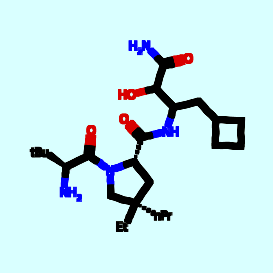 CCC[C@@]1(CC)C[C@@H](C(=O)NC(CC2CCC2)C(O)C(N)=O)N(C(=O)[C@@H](N)C(C)(C)C)C1